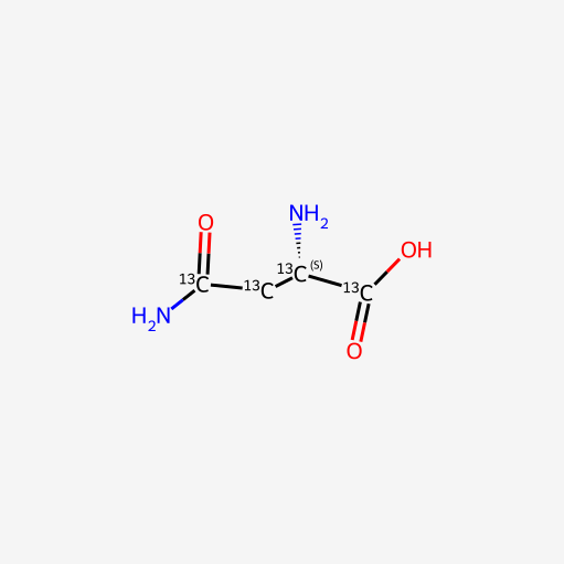 N[13C](=O)[13CH2][13C@H](N)[13C](=O)O